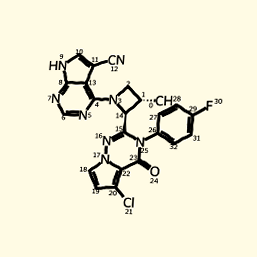 C[C@H]1CN(c2ncnc3[nH]cc(C#N)c23)[C@@H]1c1nn2ccc(Cl)c2c(=O)n1-c1ccc(F)cc1